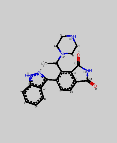 CC(c1c(-c2n[nH]c3ccccc23)ccc2c1C(=O)NC2=O)N1CCNCC1